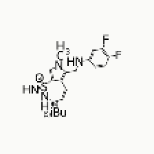 CC[C@H](C)[C@H]1C=Cc2c(cn(C)c2CNc2ccc(F)c(F)c2)S(=N)(=O)N1